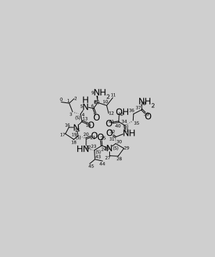 CC(C)C[C@H](NC(=O)[C@@H](N)C(C)C)C(=O)N1CCC[C@H]1C(=O)N[C@H](C(=O)N1CCC[C@H]1C(=O)N[C@@H](CCC(N)=O)C(=O)O)C(C)C